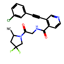 N#CC1CC(F)(F)CN1C(=O)CNC(=O)c1ccncc1C#Cc1cccc(Cl)c1